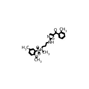 COc1ccc(C)cc1S(=O)(=O)N(C)CCCNc1ncc(C(=O)c2ccccc2C)s1